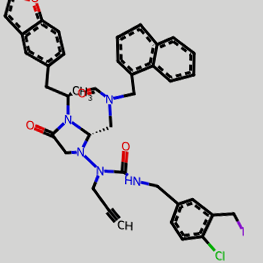 C#CCN(C(=O)NCc1ccc(Cl)c(CI)c1)N1CC(=O)N([C@H](C)Cc2ccc3occc3c2)[C@@H]1CN(C=O)Cc1cccc2ccccc12